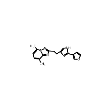 Cc1ccc(C)n2nc(CCc3c[nH]c(-c4ccoc4)n3)nc12